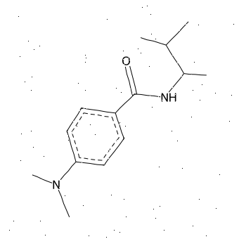 CC(C)C(C)NC(=O)c1ccc(N(C)C)cc1